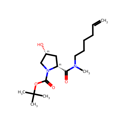 C=CCCCCN(C)C(=O)[C@H]1C[C@@H](O)CN1C(=O)OC(C)(C)C